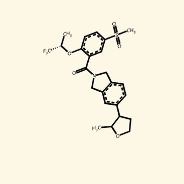 CC1OCCC1c1ccc2c(c1)CN(C(=O)c1cc(S(C)(=O)=O)ccc1O[C@@H](C)C(F)(F)F)C2